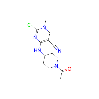 CC(=O)N1CCC(NC2=C(C#N)CN(C)C(Cl)=N2)CC1